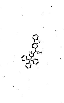 Cn1c2ccccc2c2ccc(C(O)c3cn(C(c4ccccc4)(c4ccccc4)c4ccccc4)cn3)cc21